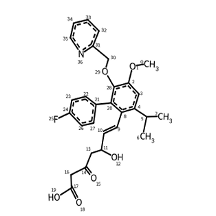 COc1cc(C(C)C)c(C=CC(O)CC(=O)CC(=O)O)c(-c2ccc(F)cc2)c1OCc1ccccn1